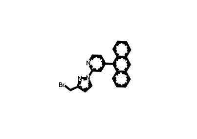 BrCc1ccn(-c2cc(-c3c4ccccc4cc4ccccc34)ccn2)n1